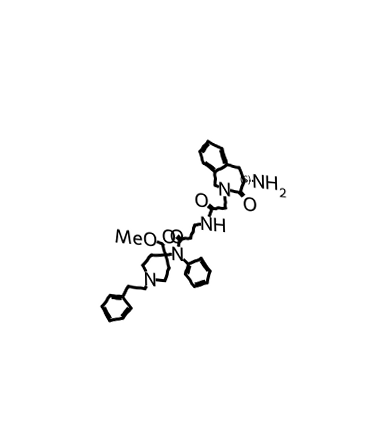 COC(=O)C1(N(C(=O)CCNC(=O)CN2Cc3ccccc3C[C@H](N)C2=O)c2ccccc2)CCN(CCc2ccccc2)CC1